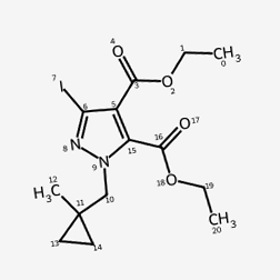 CCOC(=O)c1c(I)nn(CC2(C)CC2)c1C(=O)OCC